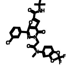 CN(C(=O)Cn1nc(-c2cccc(Cl)c2)c2oc(C(=O)NC(C)(C)C)cc2c1=O)c1ccc2c(c1)OC(F)(F)O2